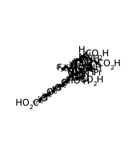 CC(C)[C@H](NC(=O)[C@H](CCC(=O)O)NC(=O)[C@H](CC(=O)O)NC(=O)Cn1cc(CCCF)nn1)C(=O)N[C@@H](CC(=O)O)C(=O)N[C@@H](CO)C(=O)NCCOCCOCCOCCOCCC(=O)O